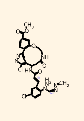 C=N/N=C\N(N)c1ccc(Cl)cc1/C=C/C(=O)NC1CC(=O)NCCOc2cc(C(=O)OC)ccc2-c2cc1c(Cl)nn2